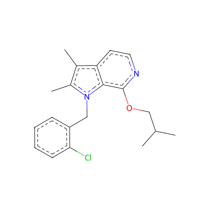 Cc1c(C)n(Cc2ccccc2Cl)c2c(OCC(C)C)nccc12